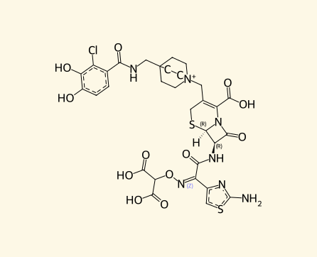 Nc1nc(/C(=N/OC(C(=O)O)C(=O)O)C(=O)N[C@@H]2C(=O)N3C(C(=O)O)=C(C[N+]45CCC(CNC(=O)c6ccc(O)c(O)c6Cl)(CC4)CC5)CS[C@H]23)cs1